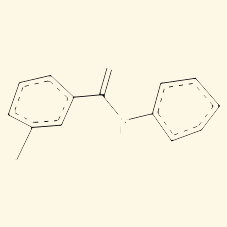 O=C(Nc1ccccc1)c1[c]ccc(Cl)c1